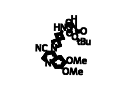 COc1cc2ncc(C#N)c(N3CC4(CC(NS(=O)(=O)NC(=O)OC(C)(C)C)C4)C3)c2cc1OC